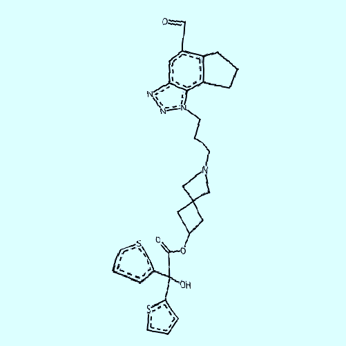 O=Cc1cc2nnn(CCCN3CC4(CC(OC(=O)C(O)(c5cccs5)c5cccs5)C4)C3)c2c2c1CCC2